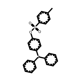 Cc1ccc(S(=O)(=O)Oc2ccc([I+](c3ccccc3)c3ccccc3)cc2)cc1